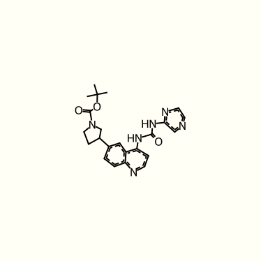 CC(C)(C)OC(=O)N1CCC(c2ccc3nccc(NC(=O)Nc4cnccn4)c3c2)C1